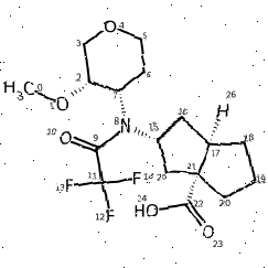 CO[C@@H]1COCC[C@@H]1N(C(=O)C(F)(F)F)[C@@H]1C[C@H]2CCC[C@@]2(C(=O)O)C1